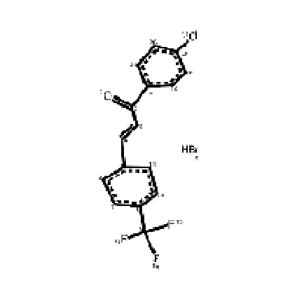 Br.O=C(C=Cc1ccc(C(F)(F)F)cc1)c1ccc(Cl)cc1